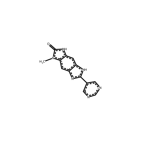 Cn1c(=O)[nH]c2cc3[nH]c(-c4cncnc4)nc3cc21